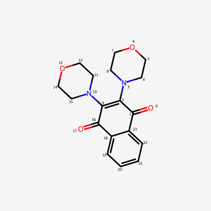 O=C1C(N2CCOCC2)=C(N2CCOCC2)C(=O)c2ccccc21